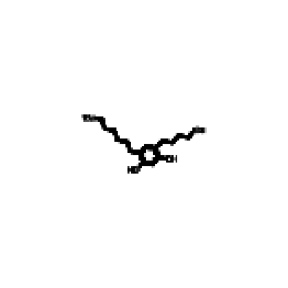 CC(C)(C)CCCCCCc1cc(CCCCC(C)(C)C)c(O)cc1O